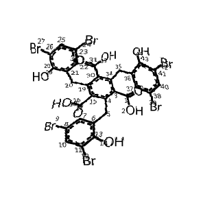 O=C(O)c1c(Cc2cc(Br)cc(Br)c2O)c(C(=O)O)c(Cc2cc(Br)cc(Br)c2O)c(C(=O)O)c1Cc1cc(Br)cc(Br)c1O